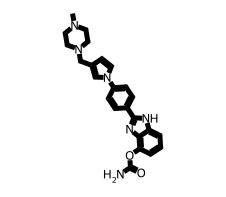 CN1CCN(Cc2ccn(-c3ccc(-c4nc5c(OC(N)=O)cccc5[nH]4)cc3)c2)CC1